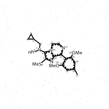 CCCN(CC1CC1)c1c(SC)nc2c(-c3c(OC)cc(C)cc3OC)nccn12